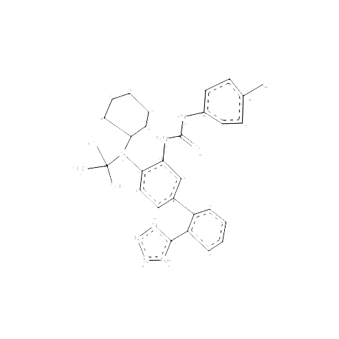 BC(B)(C(C)C)N(c1ccc(-c2ccccc2-c2nnn[nH]2)cc1NC(=O)Nc1ccc(C)cc1)C1CCCCC1